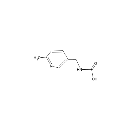 Cc1ccc(CNC(=O)O)cn1